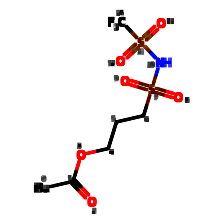 CCC(C)C(=O)OCCCS(=O)(=O)NS(=O)(=O)C(F)(F)F